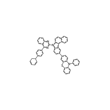 C1=CCC(c2ccc(-c3nc(-n4c5ccc(-c6ccc7c(c6)Sc6ccccc6N7c6ccccc6)cc5c5c6ccccc6ccc54)nc4ccccc34)cc2)C=C1